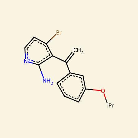 C=C(c1cccc(OC(C)C)c1)c1c(Br)ccnc1N